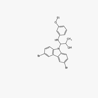 CCOc1cccc(NC(C(C)O)n2c3ccc(Br)cc3c3cc(Br)ccc32)c1